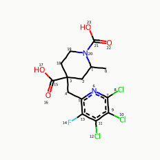 CC1CC(Cc2nc(Cl)c(Cl)c(Cl)c2F)(C(=O)O)CCN1C(=O)O